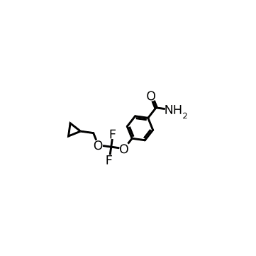 NC(=O)c1ccc(OC(F)(F)OCC2CC2)cc1